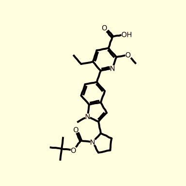 CCc1cc(C(=O)O)c(OC)nc1-c1ccc2c(c1)cc(C1CCCN1C(=O)OC(C)(C)C)n2C